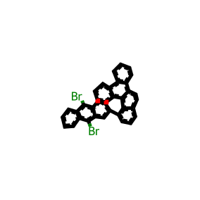 Brc1c2ccccc2c(Br)c2cc(-c3cccc4ccc5c6ccccc6c6ccccc6c5c34)ccc12